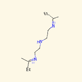 CC/C(C)=N\CCNCC/N=C(\C)CC